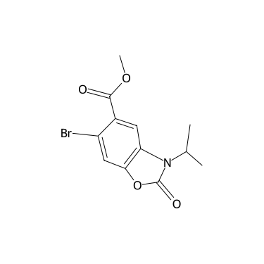 COC(=O)c1cc2c(cc1Br)oc(=O)n2C(C)C